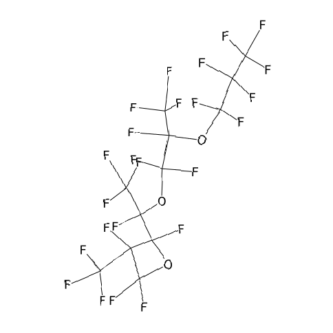 FC(F)(F)C(F)(F)C(F)(F)OC(F)(C(F)(F)F)C(F)(F)OC(F)(C(F)(F)F)C1(F)OC(F)(F)C1(F)C(F)(F)F